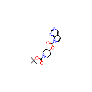 CC(C)(C)OC(=O)N1CCC(OC(=O)n2ccc3cncnc32)CC1